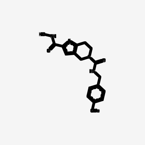 COc1ccc(CNC(=O)N2CCc3sc(C(=O)NO)cc3C2)cc1